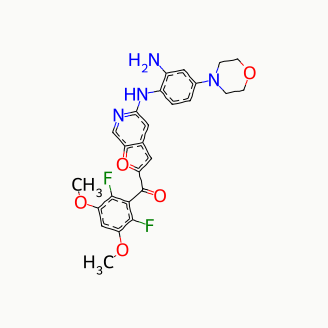 COc1cc(OC)c(F)c(C(=O)c2cc3cc(Nc4ccc(N5CCOCC5)cc4N)ncc3o2)c1F